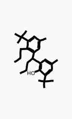 CCCc1c(C(CCC)c2cc(C)cc(C(C)(C)C)c2O)cc(C)cc1C(C)(C)C